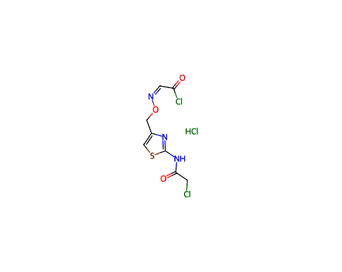 Cl.O=C(Cl)/C=N\OCc1csc(NC(=O)CCl)n1